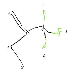 C=C(CC)C(F)(F)F